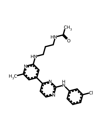 CC(=O)NCCCNc1cc(-c2ccnc(Nc3cccc(Cl)c3)n2)cc(C)n1